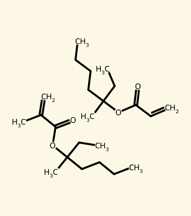 C=C(C)C(=O)OC(C)(CC)CCCC.C=CC(=O)OC(C)(CC)CCCC